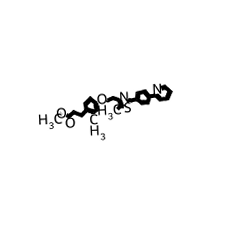 COC(=O)CCc1ccc(OCCc2nc(-c3ccc(-c4ccccn4)cc3)sc2C)cc1C